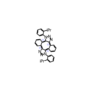 CC(C)c1ccccc1-n1nnc2/c1=c1/cccc/c1=c1\nnn(-c3ccccc3C(C)C)\c1=c1/cccc/c1=2